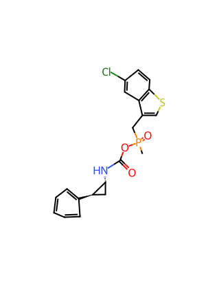 CP(=O)(Cc1csc2ccc(Cl)cc12)OC(=O)N[C@@H]1C[C@H]1c1ccccc1